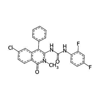 Cn1c(NC(=O)Nc2ccc(F)cc2F)c(-c2ccccc2)c2cc(Cl)ccc2c1=O